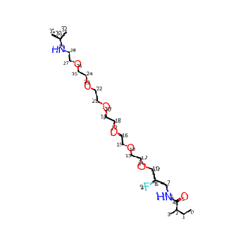 CCC(C)C(=O)NCC(F)COCCOCCOCCOCCOCCOCCNC(C)C